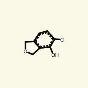 Oc1c(Cl)ccc2c1COC2